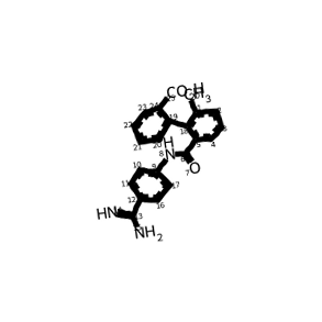 Cc1cccc(C(=O)Nc2ccc(C(=N)N)cc2)c1-c1ccccc1C(=O)O